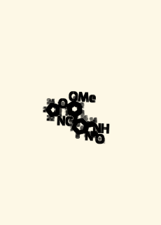 COc1ccc(C2(C#N)CCc3nc(=O)[nH]cc3C2)cc1OC1CCCC1